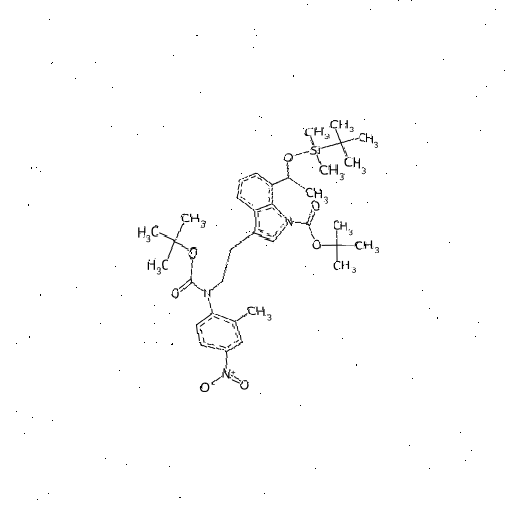 Cc1cc([N+](=O)[O-])ccc1N(CCc1cn(C(=O)OC(C)(C)C)c2c(C(C)O[Si](C)(C)C(C)(C)C)cccc12)C(=O)OC(C)(C)C